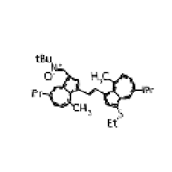 CCSc1cc(/C=C/c2cc(/C=[N+](\[O-])C(C)(C)C)c3cc(C(C)C)ccc(C)c2-3)c2c(C)ccc(C(C)C)cc1-2